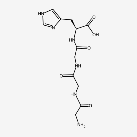 NCC(=O)NCC(=O)NCC(=O)N[C@@H](Cc1c[nH]cn1)C(=O)O